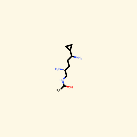 CC(O)NC[C@@H](N)CCC(N)C1CC1